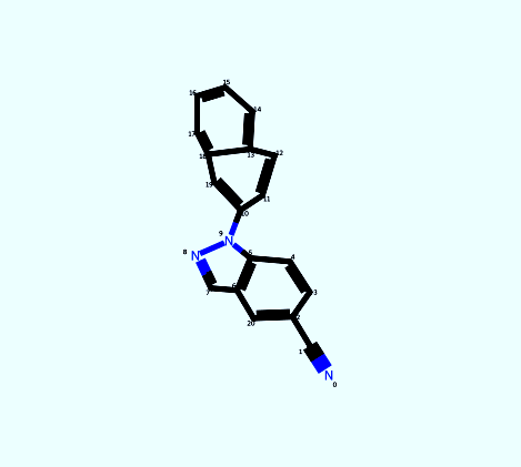 N#Cc1ccc2c(cnn2-c2ccc3ccccc3c2)c1